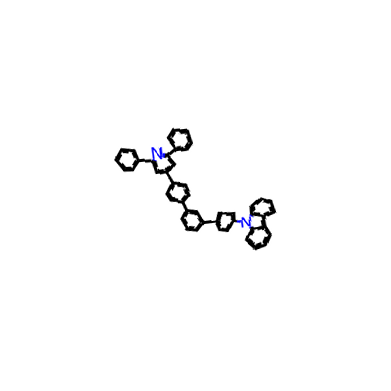 c1ccc(-c2cc(-c3ccc(-c4cccc(-c5ccc(-n6c7ccccc7c7ccccc76)cc5)c4)cc3)cc(-c3ccccc3)n2)cc1